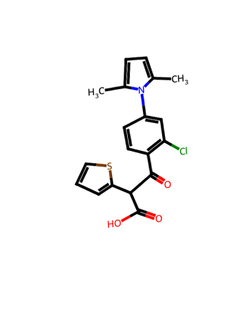 Cc1ccc(C)n1-c1ccc(C(=O)C(C(=O)O)c2cccs2)c(Cl)c1